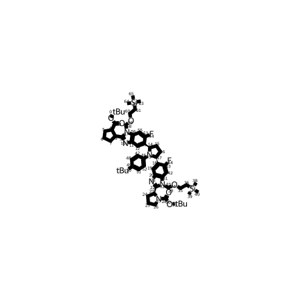 CC(C)(C)OC(=O)C1CCCC1c1nc2cc([C@H]3CC[C@H](c4cc5nc([C@@H]6CCCN6C(=O)OC(C)(C)C)n(COCC[Si](C)(C)C)c5cc4F)N3c3ccc(C(C)(C)C)cc3)c(F)cc2n1COCC[Si](C)(C)C